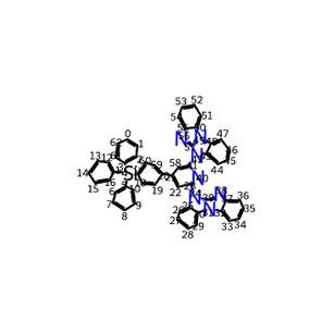 c1ccc([Si](c2ccccc2)(c2ccccc2)c2ccc(-c3cc(-n4c5ccccc5n5c6ccccc6nc45)nc(-n4c5ccccc5n5c6ccccc6nc45)c3)cc2)cc1